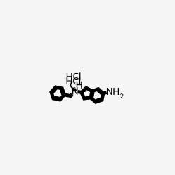 CN(Cc1ccccc1)C1Cc2ccc(N)cc2C1.Cl.Cl